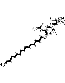 CCCCCCCCCCCCCCCCO[C@@H](C)[C@@H](C[PH](=O)CC[N+](C)(C)C)OC(C)=O